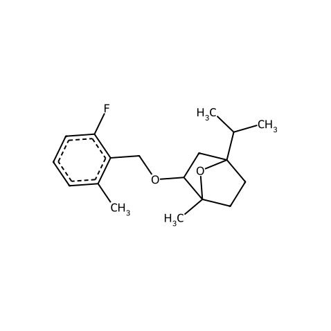 Cc1cccc(F)c1COC1CC2(C(C)C)CCC1(C)O2